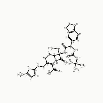 COC1(NC(=O)C(NC(=O)OC(C)(C)C)c2ccc3c(c2)CCO3)C(=O)N2C(C(=O)O)=C(CSc3nnc(C)s3)CSC21